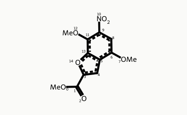 COC(=O)c1cc2c(OC)cc([N+](=O)[O-])c(OC)c2o1